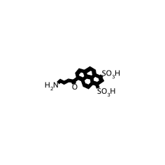 NCCCC(=O)c1ccc2ccc3c(S(=O)(=O)O)cc(S(=O)(=O)O)c4ccc1c2c34